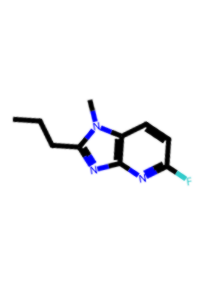 CCCc1nc2nc(F)ccc2n1C